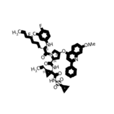 C=CCCCCC[C@H](Nc1ccc(F)c(C(F)(F)F)c1)C(=O)N1C[C@H](Oc2cc(-c3ccccc3)nc3cc(OC)ccc23)C[C@H]1C(=O)N[C@]1(C(=O)NS(=O)(=O)C2CC2)C[C@H]1C=C